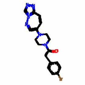 O=C(Cc1ccc(Br)cc1)N1CCN(C2=C=Nn3cnnc3C=C2)CC1